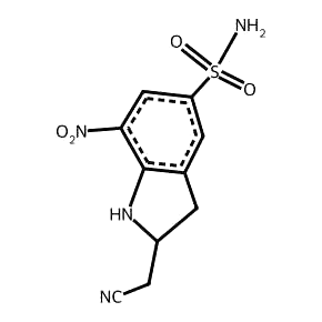 N#CCC1Cc2cc(S(N)(=O)=O)cc([N+](=O)[O-])c2N1